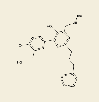 CC(C)(C)NCc1cc(CCCc2ccccc2)cc(-c2ccc(Cl)c(Cl)c2)c1O.Cl